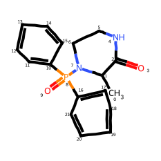 CC1C(=O)NCCN1P(=O)(c1ccccc1)c1ccccc1